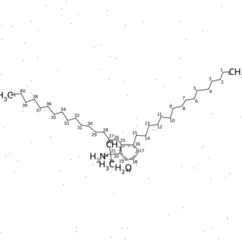 CCCCCCCCCCCCCCCCc1cccc(C(C)(C)N)c1CCCCCCCCCCCCCCCC.O